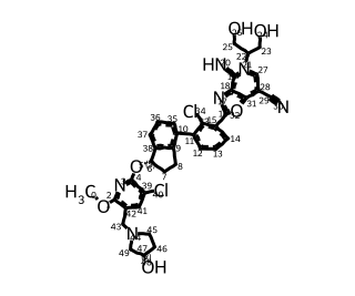 COc1nc(O[C@H]2CCc3c(-c4cccc(-c5nc6c(=N)n(C(CO)CO)cc(C#N)c6o5)c4Cl)cccc32)c(Cl)cc1CN1CC[C@@H](O)C1